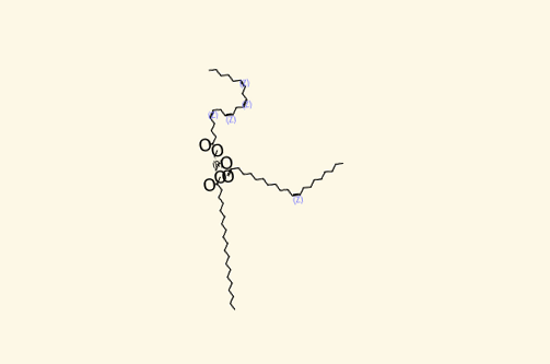 CCCCC/C=C\C/C=C\C/C=C\C/C=C\CCCC(=O)OC[C@@H](COC(=O)CCCCCCCCCCCCCCCCCCC)OC(=O)CCCCCCCCC/C=C\CCCCCCCC